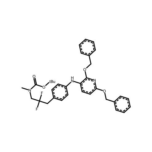 CN(CC(F)(F)Cc1ccc(Nc2ccc(OCc3ccccc3)nc2OCc2ccccc2)cc1)C(=O)OC(C)(C)C